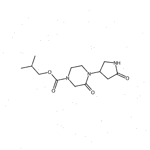 CC(C)COC(=O)N1CCN(C2CNC(=O)C2)C(=O)C1